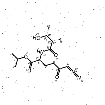 CC(C)OC(=O)[C@H](CCC(=O)C=[N+]=[N-])NC(=O)[C@@H](C)[C@@H](C)O